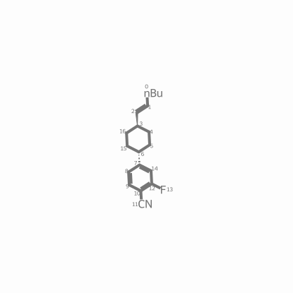 CCCCC=C[C@H]1CC[C@H](c2ccc(C#N)c(F)c2)CC1